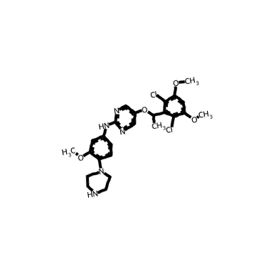 COc1cc(Nc2ncc(OC(C)c3c(Cl)c(OC)cc(OC)c3Cl)cn2)ccc1N1CCNCC1